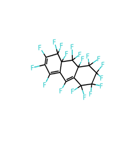 FC1=C(F)C(F)(F)C2(F)C(=C1F)C(F)=C1C(F)(F)C(F)(F)C(F)(F)C(F)(F)C1(F)C2(F)F